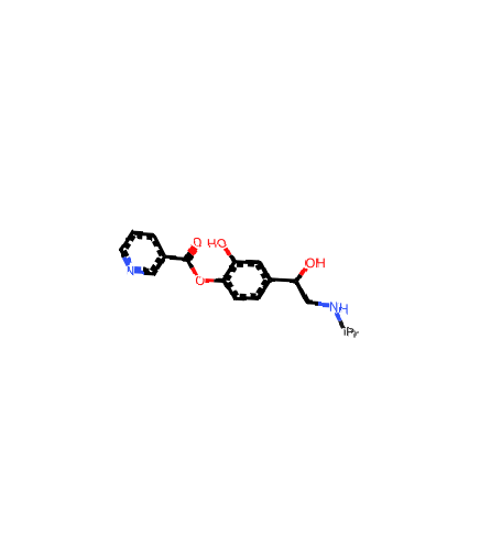 CC(C)NCC(O)c1ccc(OC(=O)c2cccnc2)c(O)c1